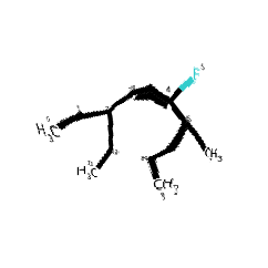 CCC(/C=C(/F)C(C)CC)CC